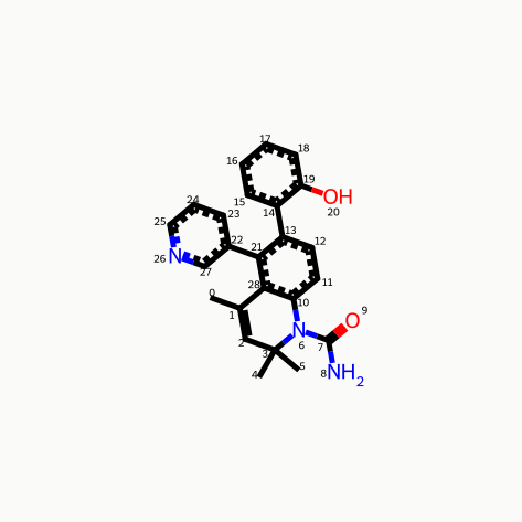 CC1=CC(C)(C)N(C(N)=O)c2ccc(-c3ccccc3O)c(-c3cccnc3)c21